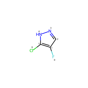 Fc1cn[nH]c1Cl